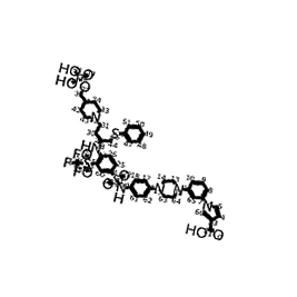 O=C(O)c1ccn(-c2cccc(N3CCN(c4ccc(NS(=O)(=O)c5ccc(NC(CCN6CCC(COP(=O)(O)O)CC6)CSc6ccccc6)c(S(=O)(=O)C(F)(F)F)c5)cc4)CC3)c2)c1